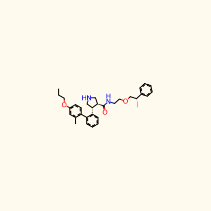 CCCOc1ccc(-c2ccccc2[C@@H]2CNC[C@H]2C(=O)NCCOC[C@@H](I)c2ccccc2)c(C)c1